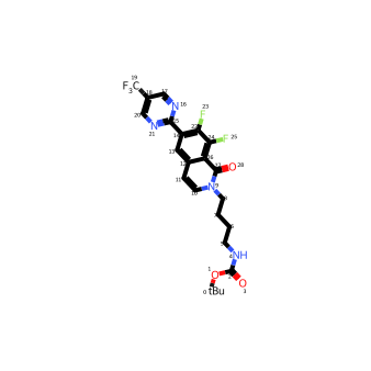 CC(C)(C)OC(=O)NCCCCn1ccc2cc(-c3ncc(C(F)(F)F)cn3)c(F)c(F)c2c1=O